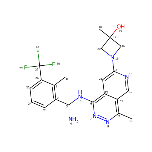 Cc1c([C@@H](N)Nc2nnc(C)c3cnc(N4CC(C)(O)C4)cc23)cccc1C(F)(F)F